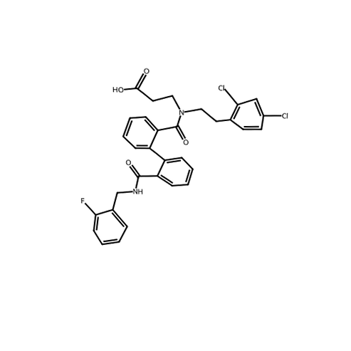 O=C(O)CCN(CCc1ccc(Cl)cc1Cl)C(=O)c1ccccc1-c1ccccc1C(=O)NCc1ccccc1F